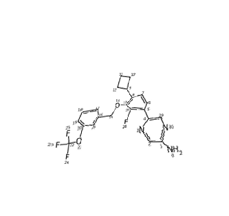 Nc1cnc(-c2ccc(C3CCC3)c(OCc3cccc(OC(F)(F)F)c3)c2F)cn1